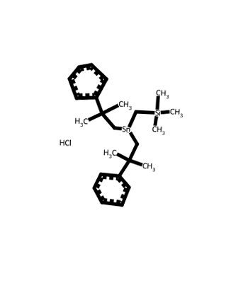 CC(C)([CH2][Sn]([CH2]C(C)(C)c1ccccc1)[CH2][Si](C)(C)C)c1ccccc1.Cl